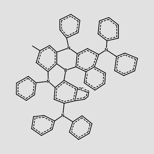 Cc1cc2c3c(c1)N(c1ccccc1)c1cc(N(c4ccccc4)c4ccccc4)c4ccccc4c1B3c1c(cc(N(c3ccccc3)c3ccccc3)c3ccccc13)N2c1ccccc1